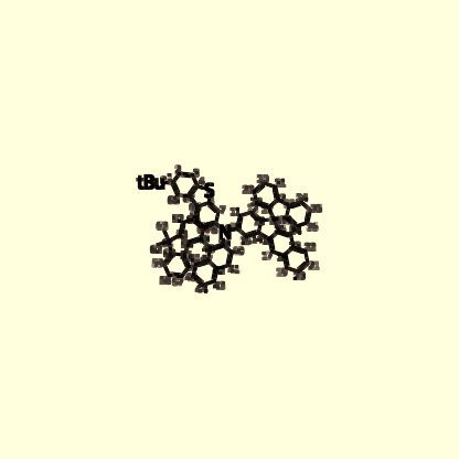 CC(C)(C)c1ccc2sc3cc(N(c4ccc5c(c4)-c4cc6ccccc6cc4C54c5ccccc5-c5ccccc54)c4ccc5ccccc5c4-c4cccc5c4-c4ccccc4C5(C)C)ccc3c2c1